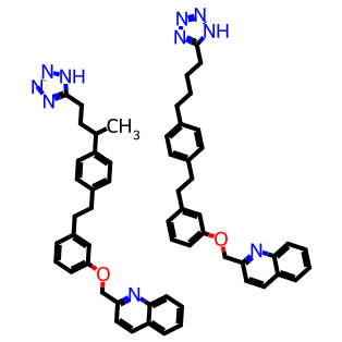 CC(CCc1nnn[nH]1)c1ccc(CCc2cccc(OCc3ccc4ccccc4n3)c2)cc1.c1cc(CCc2ccc(CCCCc3nnn[nH]3)cc2)cc(OCc2ccc3ccccc3n2)c1